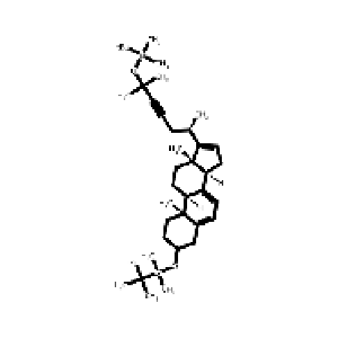 CC(C)C(C)(C)[Si](C)(C)OC1CC[C@@]2(C)C(=CC=C3[C@@H]2CC[C@]2(C)C([C@H](C)CC#CC(C)(C)O[Si](C)(C)C(C)(C)C)=CC[C@@H]32)C1